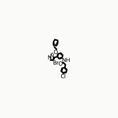 Cn1ncc(Br)c1-c1cc(NC(=O)Cc2ccc(Cl)cc2)ccc1OCCN1C2CCC1CC2